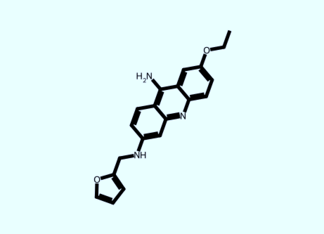 CCOc1ccc2nc3cc(NCc4ccco4)ccc3c(N)c2c1